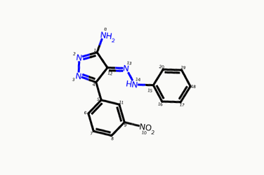 NC1=NN=C(c2cccc([N+](=O)[O-])c2)/C1=N\Nc1ccccc1